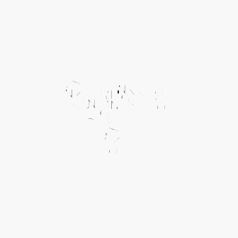 CCOC(=O)CSc1cnc(NC(=O)c2nc(Sc3ccccn3)ccc2Sc2ccc(OC)cc2)s1